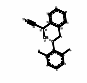 Cc1cccc(C)c1OCc1ccccc1[C@@H](O)C#N